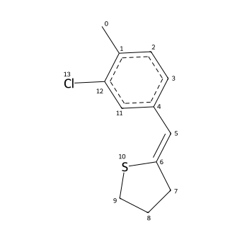 Cc1ccc(C=C2CCCS2)cc1Cl